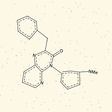 CNc1cccc(-n2c(=O)c(Cc3ccccc3)nc3cccnc32)c1